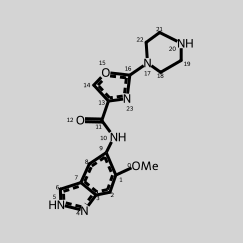 COc1cc2n[nH]cc2cc1NC(=O)c1coc(N2CCNCC2)n1